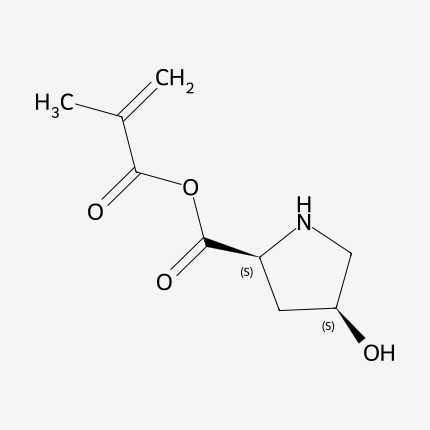 C=C(C)C(=O)OC(=O)[C@@H]1C[C@H](O)CN1